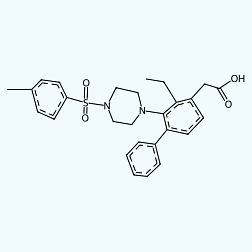 CCc1c(CC(=O)O)ccc(-c2ccccc2)c1N1CCN(S(=O)(=O)c2ccc(C)cc2)CC1